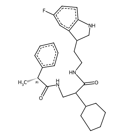 C[C@@H](C(=O)NCC(C(=O)NCCC1CNc2ccc(F)cc21)C1CCCCC1)c1ccccc1